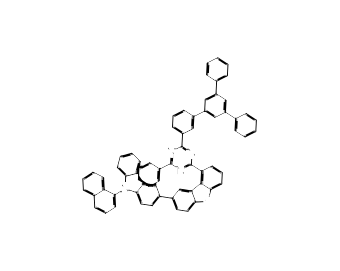 c1ccc(-c2cc(-c3ccccc3)cc(-c3cccc(-c4nc(-c5ccccc5)nc(-c5cccc6sc7ccc(-c8ccc9c(c8)c8ccccc8n9-c8cccc9ccccc89)cc7c56)n4)c3)c2)cc1